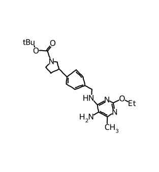 CCOc1nc(C)c(N)c(NCc2ccc(C3CCN(C(=O)OC(C)(C)C)C3)cc2)n1